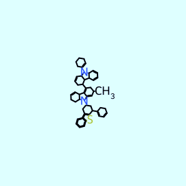 CC1C=C2C(=C(C3CC=CC4C3C3C=CC=CC3N4C3=CCCCC3)C1)C1C=CCCC1N2C1Cc2c(sc3ccccc23)C(C2=CC=CCC2)C1